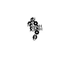 C[C@H](O)CNc1nccc(-n2ccnc2-c2ccc(NC(=O)Nc3ccc(N4CCOCC4)cc3)cc2)n1